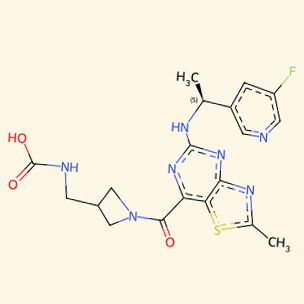 Cc1nc2nc(N[C@@H](C)c3cncc(F)c3)nc(C(=O)N3CC(CNC(=O)O)C3)c2s1